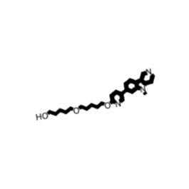 Cn1c2ccncc2c2ccc(-c3ccc(OCCCCCOCCCCCO)nc3)cc21